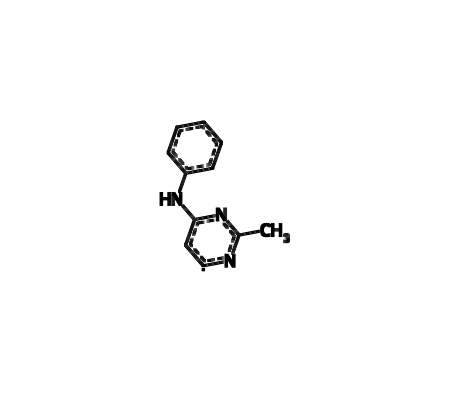 Cc1n[c]cc(Nc2ccccc2)n1